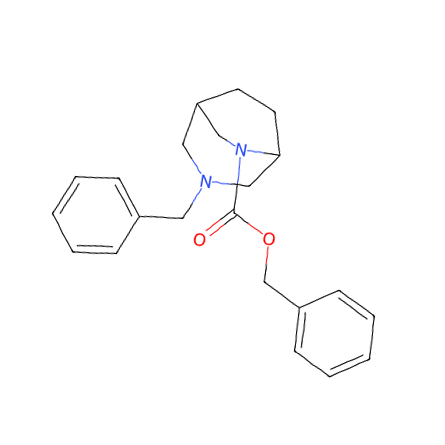 O=C(OCc1ccccc1)N1CC2CCC1CN(Cc1ccccc1)C2